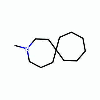 CN1CCCC2(CCCCCC2)CC1